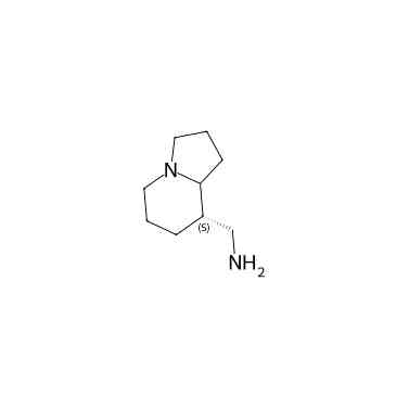 NC[C@@H]1CCCN2CCCC12